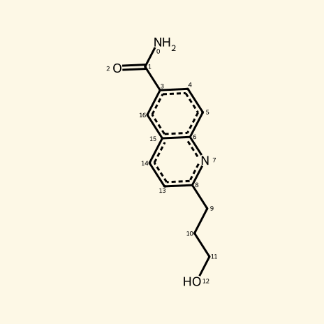 NC(=O)c1ccc2nc(CCCO)ccc2c1